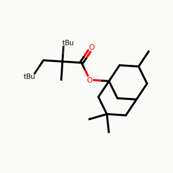 CC1CC2CC(C)(C)CC(OC(=O)C(C)(CC(C)(C)C)C(C)(C)C)(C1)C2